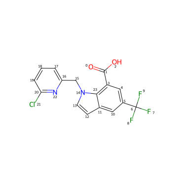 O=C(O)c1cc(C(F)(F)F)cc2ccn(Cc3cccc(Cl)n3)c12